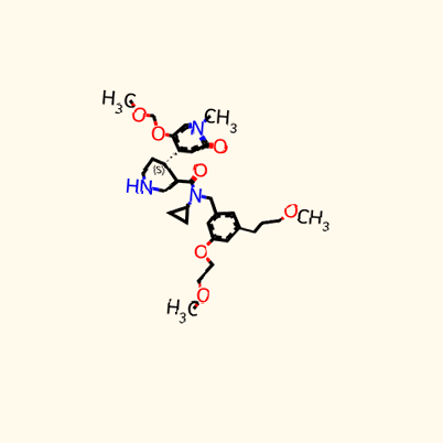 COCCCc1cc(CN(C(=O)C2CNCC[C@@H]2c2cc(=O)n(C)cc2OCOC)C2CC2)cc(OCCOC)c1